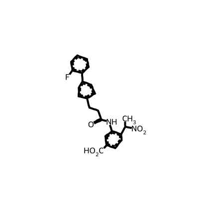 CC(c1ccc(C(=O)O)cc1NC(=O)CCc1ccc(-c2ccccc2F)cc1)[N+](=O)[O-]